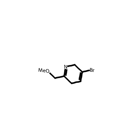 COCC1=NCC(Br)=CC1